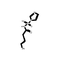 CC(C)CCCC(=O)NS(=O)(=O)n1ccnc1